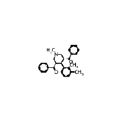 Cc1cccc(C2[C@@H](C(=O)c3ccccc3)CN(C)C[C@@H]2C(=O)c2ccccc2)c1C